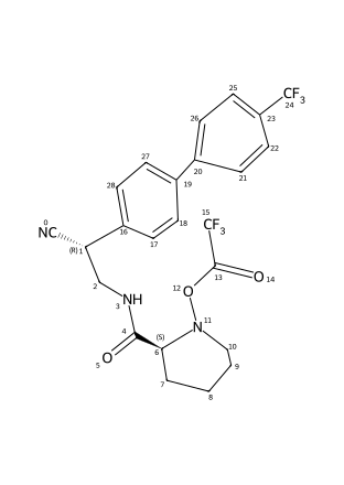 N#C[C@@H](CNC(=O)[C@@H]1CCCCN1OC(=O)C(F)(F)F)c1ccc(-c2ccc(C(F)(F)F)cc2)cc1